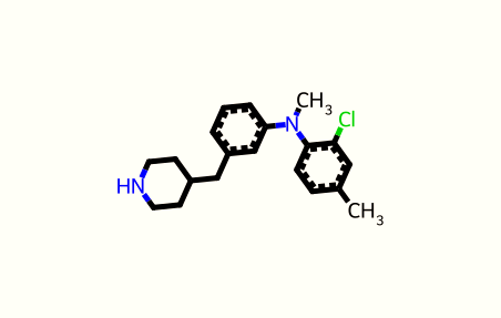 Cc1ccc(N(C)c2cccc(CC3CCNCC3)c2)c(Cl)c1